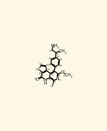 COc1nc(F)c2[nH]c(=O)c3sccc3c2c1-c1ccc(C(C)CN)cc1